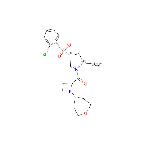 O=C(O)[C@@H]1C[C@@H](S(=O)(=O)c2ccccc2Cl)CN1C(=O)C1CCN1C1CCOCC1